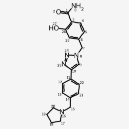 NC(=O)c1ccc(Cn2cc(-c3ccc(CN4CCCC4)cc3)nn2)cc1O